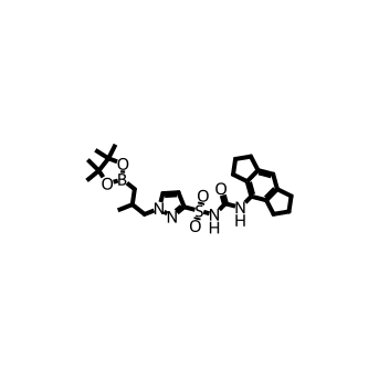 CC(CB1OC(C)(C)C(C)(C)O1)Cn1ccc(S(=O)(=O)NC(=O)Nc2c3c(cc4c2CCC4)CCC3)n1